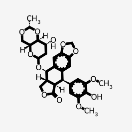 COc1cc([C@@H]2c3cc4c(cc3[C@@H](OC3C[C@@H](O)[C@@H]5O[C@@H](C)OC[C@H]5O3)[C@H]3COC(=O)[C@H]23)OCO4)cc(OC)c1O